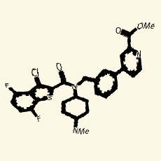 CNC1CCC(N(Cc2cccc(-c3ccnc(C(=O)OC)c3)c2)C(=O)c2sc3c(F)ccc(F)c3c2Cl)CC1